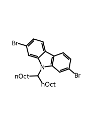 CCCCCCCCC(CCCCCCCC)n1c2cc(Br)ccc2c2ccc(Br)cc21